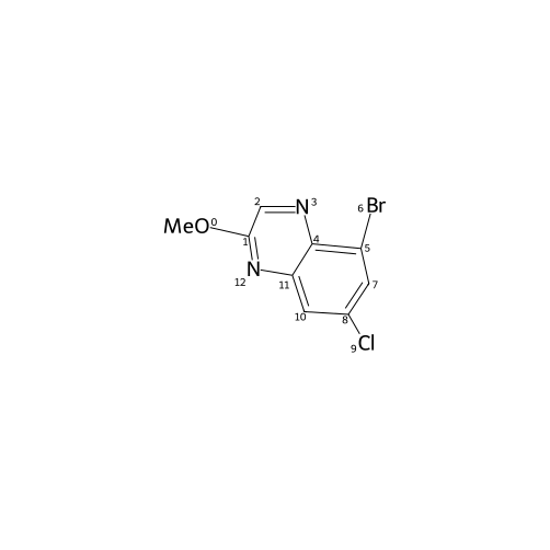 COc1cnc2c(Br)cc(Cl)cc2n1